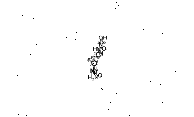 NC(=O)c1cn(-c2ccc(Oc3ccnc(NC(=O)N4CC(O)C4)c3)c(F)c2)nn1